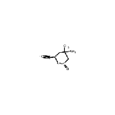 C#CC1CC(C)(C)CS(=O)O1